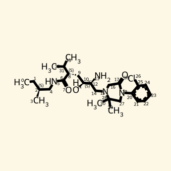 CC[C@H](C)CNC(=O)[C@@H](C[C@H](O)[C@@H](N)CN1CC(=O)N(c2ccccc2Cl)CC1(C)C)C(C)C